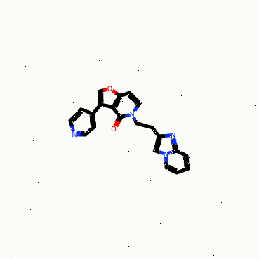 O=c1c2c(-c3ccncc3)coc2ccn1CCc1cn2ccccc2n1